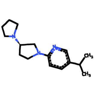 CC(C)c1ccc(N2CC[C@H](N3CCCC3)C2)nc1